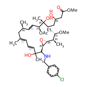 CC[C@H](OC)[C@@H](C)[C@H]1O[C@@H]1C(NCc1ccc(Cl)cc1)C(C)(O)/C=C/C=C(\C)C[C@@H](C)/C=C/[C@H](OC(C)=O)[C@](C)(O)CC[C@@H](O)CC(=O)OC